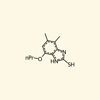 CCCOc1cc(C)c(C)c2nc(S)[nH]c12